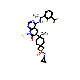 COC1(c2cc3c(N[C@H](C)c4cccc(C(F)F)c4F)ncnc3n(C)c2=O)CCC2(CC1)CS(=O)(=NC1CC1)C2